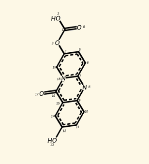 O=C(O)Oc1ccc2nc3ccc(O)cc3c(=O)n2c1